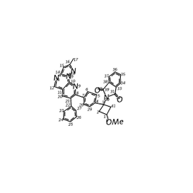 COC1CC(c2ccc(-c3nc4c(cnc5cc(C)nn54)cc3-c3ccccc3)cc2)(N2C(=O)c3ccccc3C2=O)C1